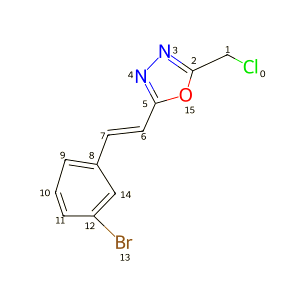 ClCc1nnc(/C=C/c2cccc(Br)c2)o1